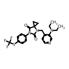 CCN(CC)c1cnccc1CN1C(=O)N(c2ccc(SC(F)(F)F)cc2)C(=O)C12CC2